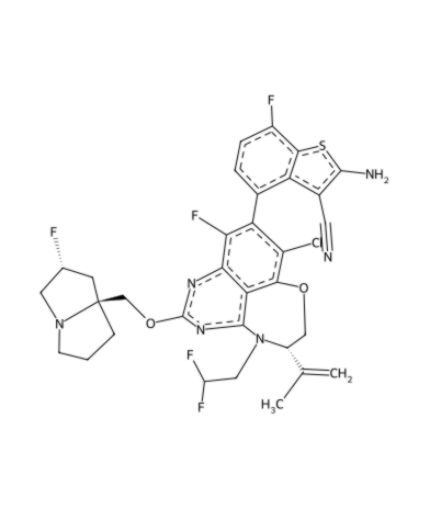 C=C(C)[C@H]1COc2c(Cl)c(-c3ccc(F)c4sc(N)c(C#N)c34)c(F)c3nc(OC[C@@]45CCCN4C[C@H](F)C5)nc(c23)N1CC(F)F